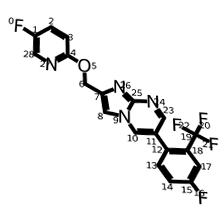 Fc1ccc(OCc2cn3cc(-c4ccc(F)cc4C(F)(F)F)cnc3n2)nc1